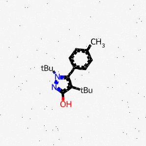 Cc1ccc(-c2c(C(C)(C)C)c(O)nn2C(C)(C)C)cc1